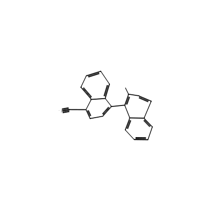 N#Cc1ccc(-c2c(S)ccc3ccccc23)c2ccccc12